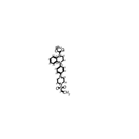 C=CS(=O)(=O)N1CCN(c2ccc(N3CCN(C(=O)OC(C)(C)C)c4ccccc43)cc2)CC1